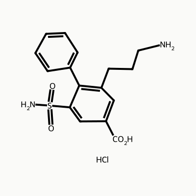 Cl.NCCCc1cc(C(=O)O)cc(S(N)(=O)=O)c1-c1ccccc1